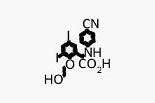 N#Cc1ccc(NC(C(=O)O)c2cc(I)cc(I)c2OCCO)cc1